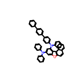 c1ccc(-c2ccc(-c3ccc(N(c4ccccc4)c4cc(N(c5ccccc5)c5ccccc5)cc5oc6ccc7ccccc7c6c45)cc3)cc2)cc1